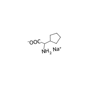 NC(C(=O)[O-])C1CCCC1.[Na+]